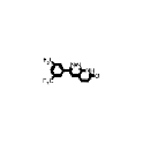 O=c1ccc2cc(-c3cc(C(F)(F)F)cc(C(F)(F)F)c3)nnc2[nH]1